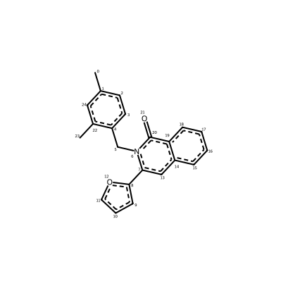 Cc1ccc(Cn2c(-c3ccco3)cc3ccccc3c2=O)c(C)c1